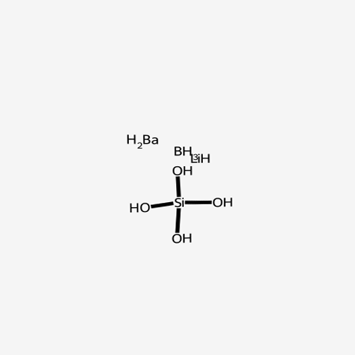 B.O[Si](O)(O)O.[BaH2].[LiH]